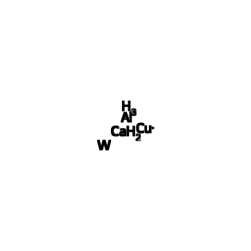 [AlH3].[CaH2].[Cu].[W]